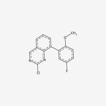 COc1ccc(F)cc1-c1cccc2cnc(Cl)nc12